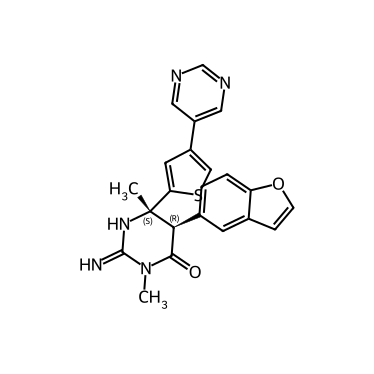 CN1C(=N)N[C@](C)(c2cc(-c3cncnc3)cs2)[C@@H](c2ccc3occc3c2)C1=O